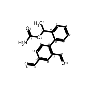 CC(OC(N)=O)c1ccccc1-c1ccc(C=O)cc1C=O